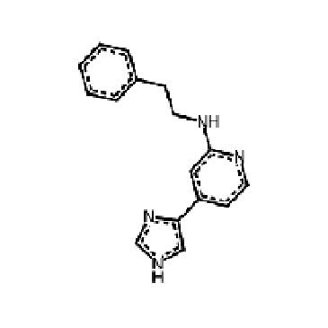 c1ccc(CCNc2cc(-c3c[nH]cn3)ccn2)cc1